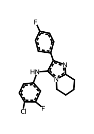 Fc1ccc(-c2nc3n(c2Nc2ccc(Cl)c(F)c2)CCCC3)cc1